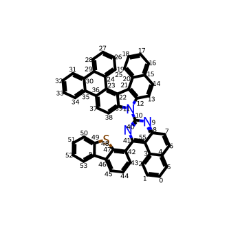 c1ccc2c(c1)ccc1nc(-n3c4ccc5ccccc5c4c4c5c6ccccc6c6ccccc6c5ccc43)nc(-c3cccc4c3sc3ccccc34)c12